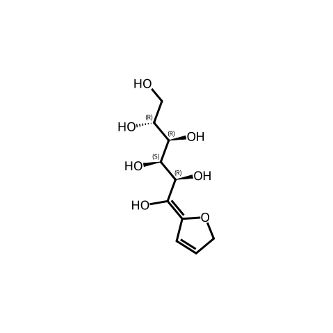 OC[C@@H](O)[C@@H](O)[C@H](O)[C@@H](O)C(O)=C1C=CCO1